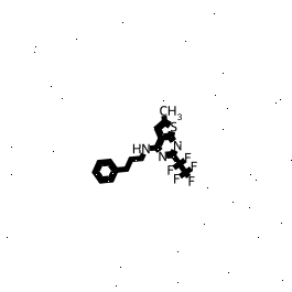 Cc1cc2c(NCCCc3ccccc3)nc(C(F)(F)C(F)(F)F)nc2s1